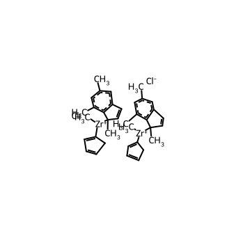 Cc1cc(C)c2c(c1)C=C[C]2(C)[Zr+]([CH3])[C]1=CC=CC1.Cc1cc(C)c2c(c1)C=C[C]2(C)[Zr+]([CH3])[C]1=CC=CC1.[Cl-].[Cl-]